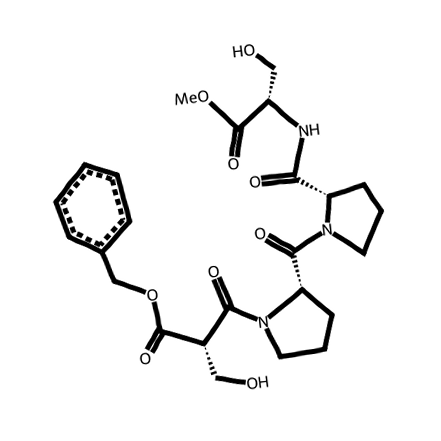 COC(=O)[C@H](CO)NC(=O)[C@@H]1CCCN1C(=O)[C@@H]1CCCN1C(=O)[C@H](CO)C(=O)OCc1ccccc1